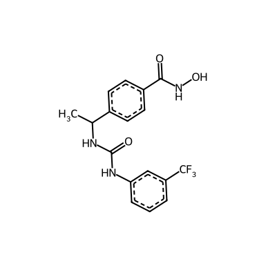 CC(NC(=O)Nc1cccc(C(F)(F)F)c1)c1ccc(C(=O)NO)cc1